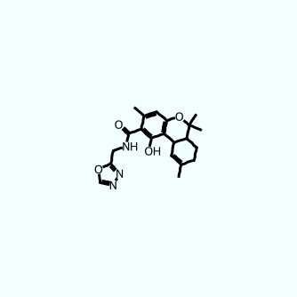 CC1=CC2c3c(cc(C)c(C(=O)NCc4nnco4)c3O)OC(C)(C)C2CC1